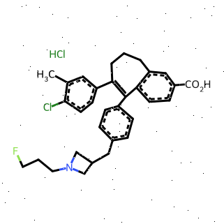 Cc1cc(C2=C(c3ccc(CC4CN(CCCF)C4)cc3)c3ccc(C(=O)O)cc3CCC2)ccc1Cl.Cl